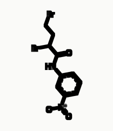 O=C(Nc1cccc([N+](=O)[O-])c1)C(Br)CCBr